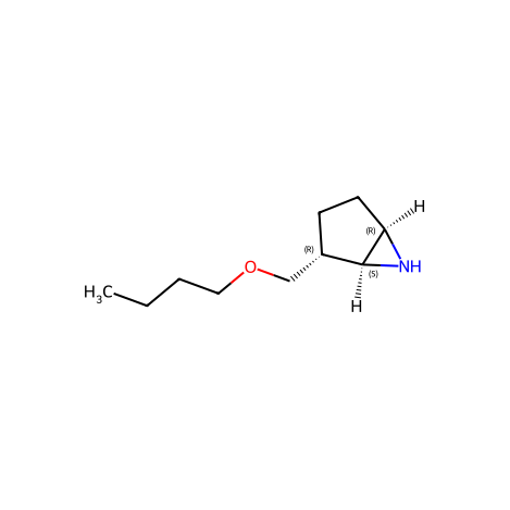 CCCCOC[C@@H]1CC[C@H]2N[C@@H]12